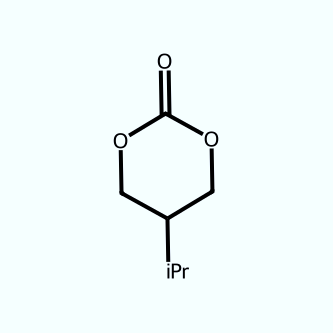 [CH2-][C+](C)C1COC(=O)OC1